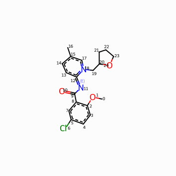 COc1ccc(Cl)cc1C(=O)/N=c1\ccc(C)cn1CC1CCCO1